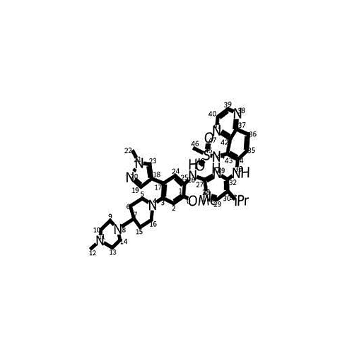 COc1cc(N2CCC(N3CCN(C)CC3)CC2)c(-c2cnn(C)c2)cc1Nc1ncc(C(C)C)c(Nc2ccc3nccnc3c2NS(C)(=O)=O)n1